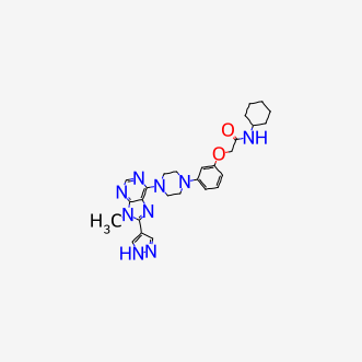 Cn1c(-c2cn[nH]c2)nc2c(N3CCN(c4cccc(OCC(=O)NC5CCCCC5)c4)CC3)ncnc21